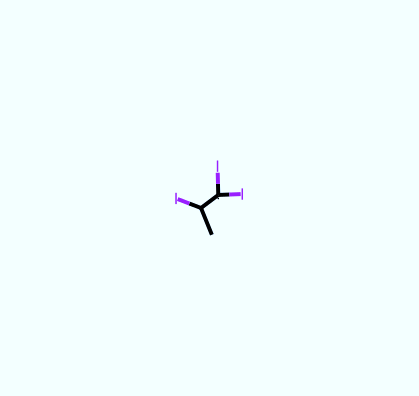 CC(I)[C](I)I